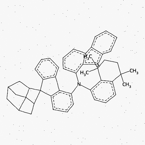 CC1(C)CCC(C)(C)c2c(N(c3cccc4c3-c3ccccc3C43C4CC5CC6CC3C64C5)c3cccc4c3sc3ccccc34)cccc21